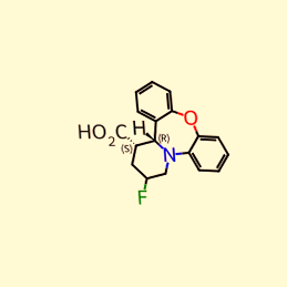 O=C(O)[C@H]1CC(F)CN2c3ccccc3Oc3ccccc3[C@@H]12